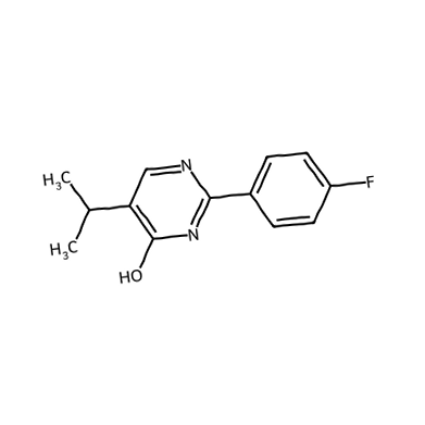 CC(C)c1cnc(-c2ccc(F)cc2)nc1O